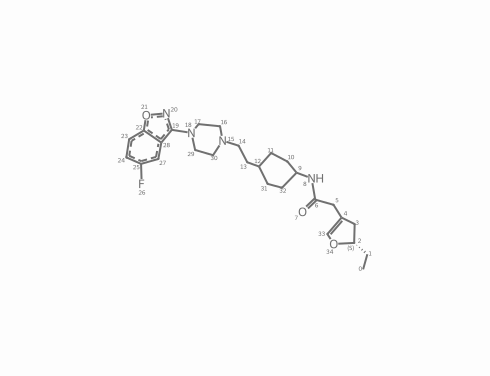 CC[C@H]1CC(CC(=O)NC2CCC(CCN3CCN(c4noc5ccc(F)cc45)CC3)CC2)=CO1